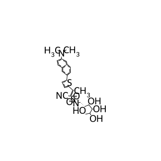 C/C(=C(/C#N)S(=O)(=O)NC[C@H]1OC[C@H](O)[C@@H](O)[C@@H]1O)c1ccc(-c2ccc3cc(N(C)C)ccc3c2)s1